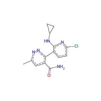 Cc1cc(C(N)=O)c(-c2ccc(Cl)nc2NC2CC2)nn1